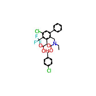 CCN(Cc1c(-c2ccccc2)cc(Cl)c(C(F)(F)F)c1CC(=O)O)C(=O)OCc1ccc(Cl)cc1